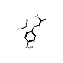 CC(C)CC(=O)O.CCOC(=O)c1ccc(OCC(C)O)cc1